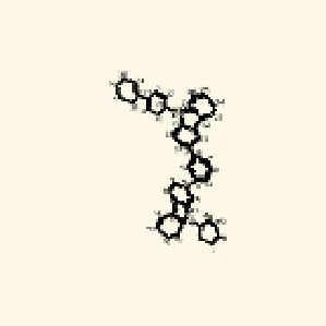 C1=CCC(n2c3c(c4ccc(-c5cccc(-c6ccc7c(c6)c6ccccc6n7C6C=CC(C7=CCCCC7)=CC6)c5)cc42)C=CCC3)C=C1